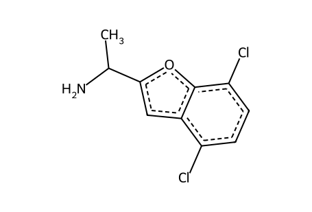 CC(N)c1cc2c(Cl)ccc(Cl)c2o1